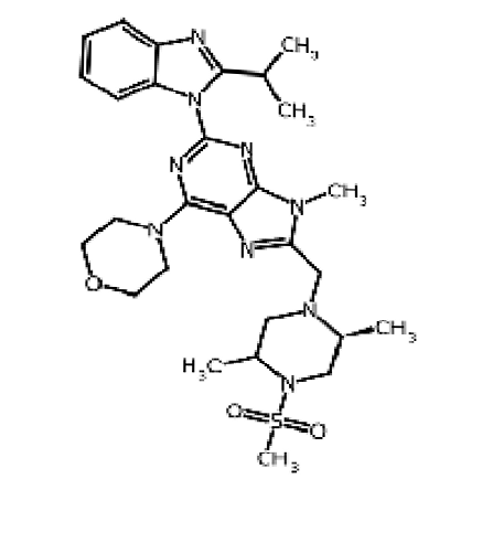 CC(C)c1nc2ccccc2n1-c1nc(N2CCOCC2)c2nc(CN3CC(C)N(S(C)(=O)=O)C[C@@H]3C)n(C)c2n1